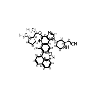 C[C@H](Oc1nc2c(F)c(-c3cccc4cccc(C#N)c34)c(Cl)cc2c2c1ncn2[C@H]1CCN[C@H](CC#N)C1)[C@@H]1CCCN1C